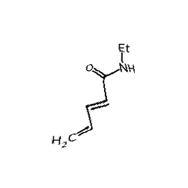 C=C/C=C/C(=O)NCC